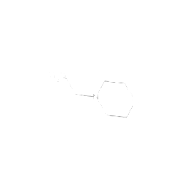 [SiH2]CN1CCOCC1